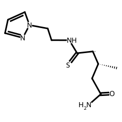 C[C@@H]([CH]C(=S)NCCn1cccn1)CC(N)=O